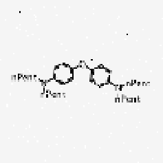 CCCCCN(CCCCC)c1ccc(Oc2ccc(N(CCCCC)CCCCC)cc2)cc1